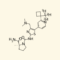 [2H]C([2H])([2H])C1(c2cc(-c3sc(NC(=O)N4CCC[C@@]4(C)C(N)=O)nc3CN(C)C)ccn2)CCC1